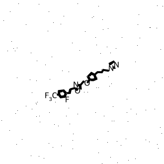 Fc1cc(C(F)(F)F)ccc1C=Cc1nc(COc2ccc(CCCCn3ccnc3)cc2)co1